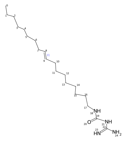 CCCCCCCC/C=C/CCCCCCCCNC(=O)NC(=N)N